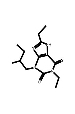 CCc1nc2c([nH]1)c(=S)n(CC)c(=O)n2CC(C)CC